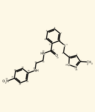 Cc1cc(CSc2ccccc2C(=O)NCCNc2ccc([N+](=O)[O-])cc2)on1